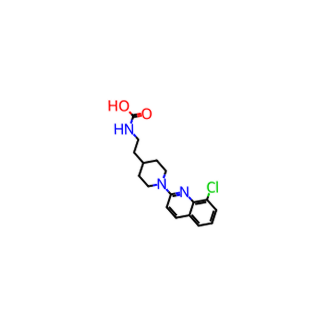 O=C(O)NCCC1CCN(c2ccc3cccc(Cl)c3n2)CC1